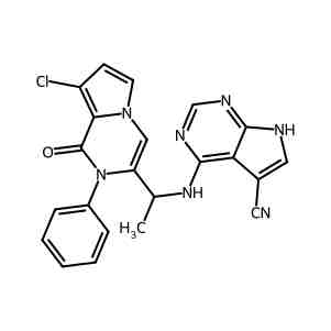 CC(Nc1ncnc2[nH]cc(C#N)c12)c1cn2ccc(Cl)c2c(=O)n1-c1ccccc1